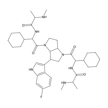 CNC(C)C(=O)NC(C(=O)N1CC(c2c[nH]c3cc(F)ccc23)C2C1CCN2C(=O)C(NC(=O)C(C)NC)C1CCCCC1)C1CCCCC1